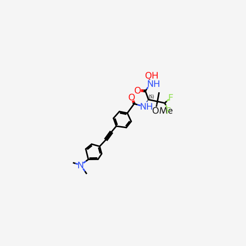 COC(C)(C(F)F)[C@H](NC(=O)c1ccc(C#Cc2ccc(N(C)C)cc2)cc1)C(=O)NO